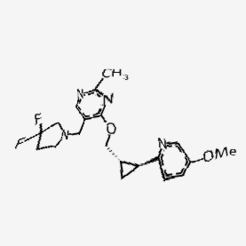 COc1ccc([C@H]2C[C@@H]2COc2nc(C)ncc2CN2CCC(F)(F)C2)nc1